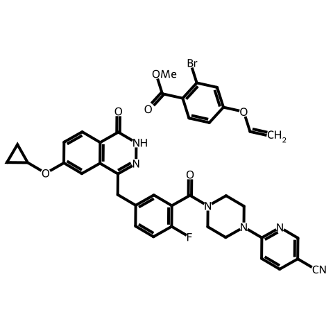 C=COc1ccc(C(=O)OC)c(Br)c1.N#Cc1ccc(N2CCN(C(=O)c3cc(Cc4n[nH]c(=O)c5ccc(OC6CC6)cc45)ccc3F)CC2)nc1